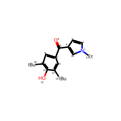 CCn1ccc(C(=O)c2cc(C(C)(C)C)c(O)c(C(C)(C)C)c2)c1